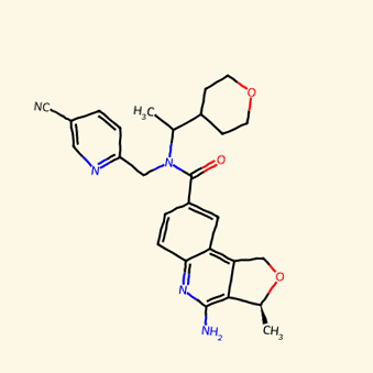 CC(C1CCOCC1)N(Cc1ccc(C#N)cn1)C(=O)c1ccc2nc(N)c3c(c2c1)CO[C@H]3C